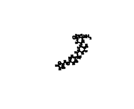 CC1(C)C(N)=NC(c2cc(/C=C(\F)c3cnc(OCc4ncco4)cn3)ccc2F)C[S+]1[O-]